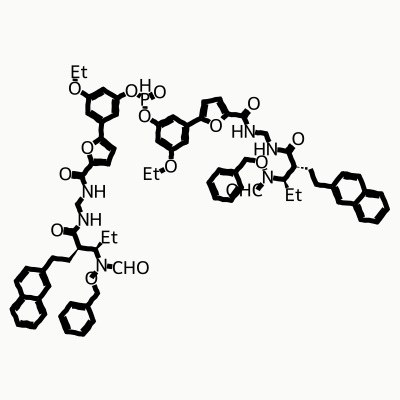 CCOc1cc(O[PH](=O)Oc2cc(OCC)cc(-c3ccc(C(=O)NCNC(=O)[C@H](CCc4ccc5ccccc5c4)[C@@H](CC)N(C=O)OCc4ccccc4)o3)c2)cc(-c2ccc(C(=O)NCNC(=O)[C@H](CCc3ccc4ccccc4c3)[C@@H](CC)N(C=O)OCc3ccccc3)o2)c1